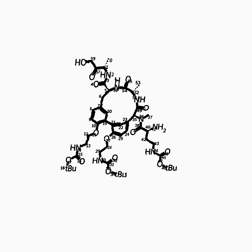 C[C@H](NC(=O)[C@@H]1Cc2ccc(OCCNC(=O)OC(C)(C)C)c(c2)-c2cc(ccc2OCCNC(=O)OC(C)(C)C)[C@H](N(C)C(=O)[C@@H](N)CCNC(=O)OC(C)(C)C)C(=O)N[C@@H](C)C(=O)N1)C(=O)CO